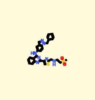 CS(=O)(=O)CCNCc1nc(-c2nc(Nc3ccc4c(cnn4Cc4ccccc4)c3)c3ccccc3n2)cs1